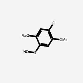 COc1cc(SC#N)c(OC)cc1Cl